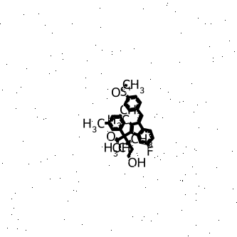 CC1=C(C(C(=O)O)(c2cc(C)cc(C)c2)C(C)(C)CCO)c2cc(F)ccc2C1=Cc1ccc([S+](C)[O-])cc1